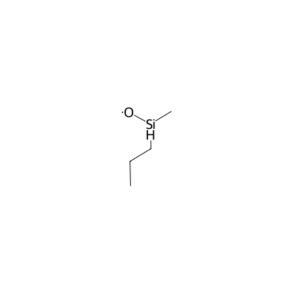 CCC[SiH](C)[O]